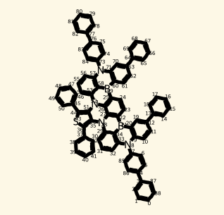 c1ccc(-c2ccc(N3c4ccc(-c5ccccc5)cc4B4c5ccc6c7c5N(c5cccc3c54)c3c(-c4ccccc4)sc(-c4ccccc4)c3N7c3cccc4c3B6c3ccc(-c5ccccc5)cc3N4c3ccc(-c4ccccc4)cc3)cc2)cc1